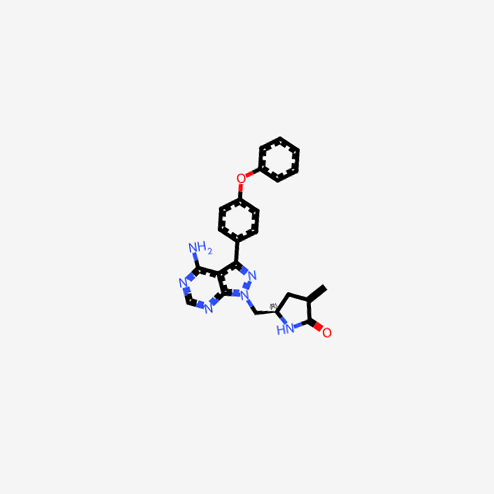 C=C1C[C@H](Cn2nc(-c3ccc(Oc4ccccc4)cc3)c3c(N)ncnc32)NC1=O